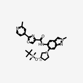 Cc1cc(-c2nc(C(=O)Nc3cc4cn(C)nc4cc3N3CC[C@H](O[Si](C)(C)C(C)(C)C)C3)co2)ccn1